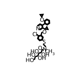 CN(CCSc1ccc(Cl)c(COC2(c3cnccc3-c3ccccc3OC3CC3)CC2)c1)C(=O)C(O)C(O)C(O)C(O)CO